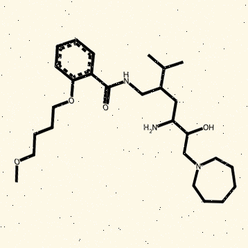 COCCCCOc1ccccc1C(=O)NCC(CC(N)C(O)CN1CCCCCC1)C(C)C